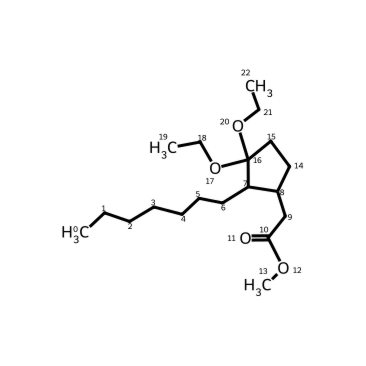 CCCCCCCC1C(CC(=O)OC)CCC1(OCC)OCC